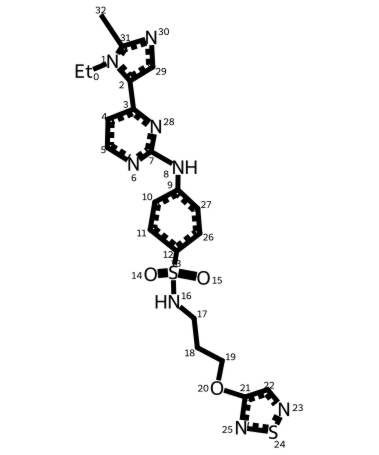 CCn1c(-c2ccnc(Nc3ccc(S(=O)(=O)NCCCOc4cnsn4)cc3)n2)cnc1C